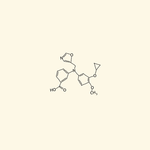 COc1ccc(N(Cc2cnco2)c2cccc(C(=O)O)c2)cc1OC1CC1